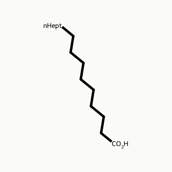 CCCCCCCCCCCCCCC[14C](=O)O